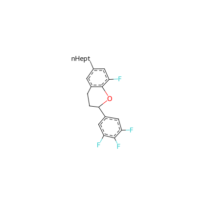 CCCCCCCc1cc(F)c2c(c1)CCC(c1cc(F)c(F)c(F)c1)O2